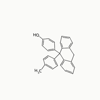 Cc1ccc(C2(c3ccc(O)cc3)c3ccccc3Cc3ccccc32)cc1